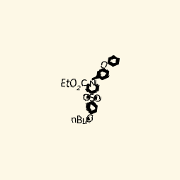 CCCCOc1ccc(S(=O)(=O)C2CCN(Cc3cccc(Oc4ccccc4)c3)C(C(=O)OCC)C2)cc1